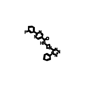 O=C(NC1CN(c2nnnn2-c2ccccc2)C1)c1cnc(-c2cccc(F)c2)nc1